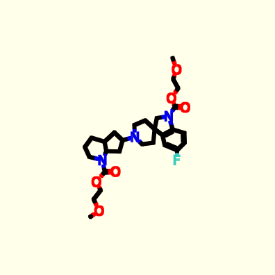 COCCOC(=O)N1CC2(CCN(C3CC4CCCN(C(=O)OCCOC)C4C3)CC2)c2cc(F)ccc21